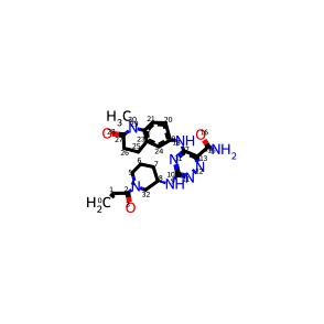 C=CC(=O)N1CCC[C@@H](Nc2nnc(C(N)=O)c(Nc3ccc4c(c3)CCC(=O)N4C)n2)C1